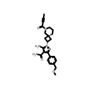 CC#CC(=O)N1CCC[C@]2(C1)C[C@@H](n1nc(-c3ccc(COC)cc3)c(C(N)=O)c1N)C2